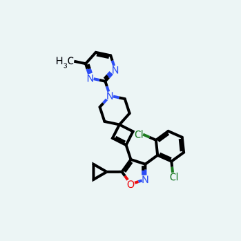 Cc1ccnc(N2CCC3(C=C(c4c(-c5c(Cl)cccc5Cl)noc4C4CC4)C3)CC2)n1